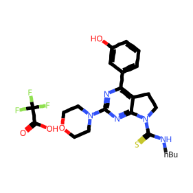 CCCCNC(=S)N1CCc2c(-c3cccc(O)c3)nc(N3CCOCC3)nc21.O=C(O)C(F)(F)F